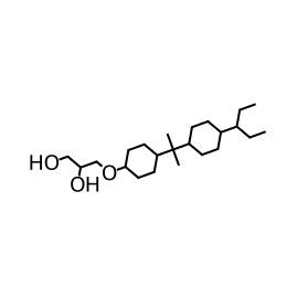 CCC(CC)C1CCC(C(C)(C)C2CCC(OCC(O)CO)CC2)CC1